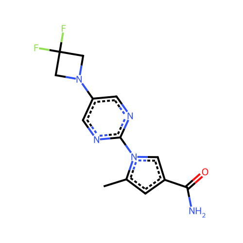 Cc1cc(C(N)=O)cn1-c1ncc(N2CC(F)(F)C2)cn1